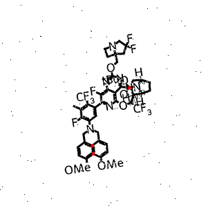 COc1ccc(CN(Cc2ccc(OC)cc2)c2cc(-c3nc4c5c(nc(OCC67CCN6CC(F)(F)C7)nc5c3F)N3C[C@H]5CC[C@@H]([C@H]3[C@H](C(F)(F)F)O4)N5C(=O)OC(C)(C)C)c(C(F)(F)F)c(C)c2F)cc1